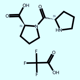 O=C(O)C(F)(F)F.O=C(O)[C@@H]1CCCN1C(=O)[C@@H]1CCCN1